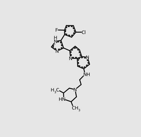 CC1CN(CCNc2cnc3ccc(-c4nc[nH]c4-c4cc(Cl)ccc4F)nc3c2)CC(C)N1